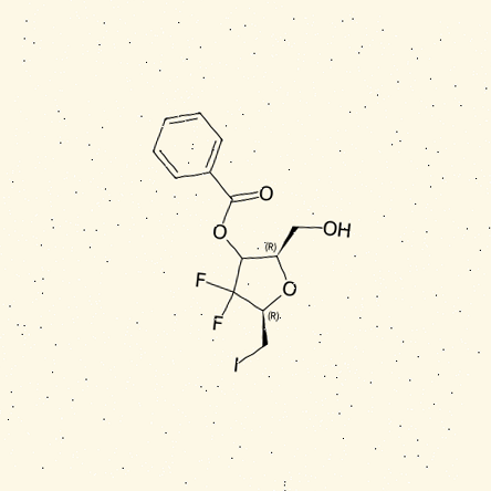 O=C(OC1[C@@H](CO)O[C@@H](CI)C1(F)F)c1ccccc1